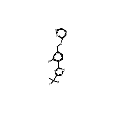 Fc1cc(COc2cccnn2)ccc1-c1noc(C(F)(F)F)n1